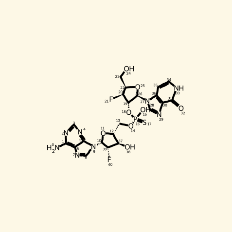 Nc1ncnc2c1ncn2[C@@H]1O[C@H](COP(O)(=S)O[C@@H]2[C@@H](F)[C@@H](CO)O[C@H]2n2cnc3c(=O)[nH]ccc32)[C@@H](O)[C@@H]1F